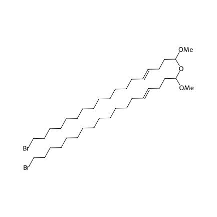 COC(CCC=CCCCCCCCCCCCCCBr)OC(CCC=CCCCCCCCCCCCCCBr)OC